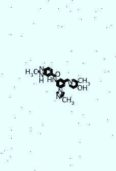 Cc1cn(-c2cc(CN3CCC(O)C(C)C3)cc(NC(=O)c3ccc4nc(C)[nH]c4c3)c2)cn1